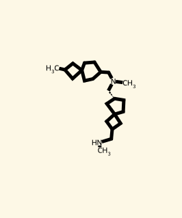 CNCC1CC2(CC[C@@H](CN(C)CC3CCC4(CC3)CC(C)C4)C2)C1